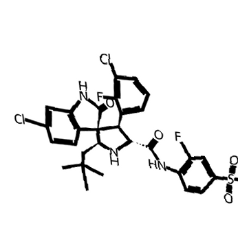 CC(C)(C)C[C@@H]1N[C@@H](C(=O)Nc2ccc(S(C)(=O)=O)cc2F)[C@H](c2cccc(Cl)c2F)[C@]12C(=O)Nc1cc(Cl)ccc12